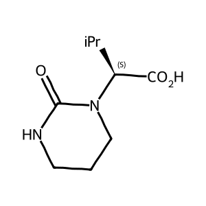 CC(C)[C@@H](C(=O)O)N1CCCNC1=O